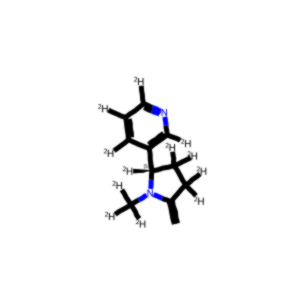 [2H]c1nc([2H])c([C@@]2([2H])N(C([2H])([2H])[2H])C(=C)C([2H])([2H])C2([2H])[2H])c([2H])c1[2H]